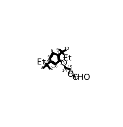 CCC(C)(C)c1ccc(C(C)(C)CC)c(OCCO[C]=O)c1